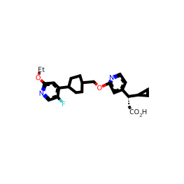 CCOc1cc(C2CCC(COc3cc([C@@H](CC(=O)O)C4CC4)ccn3)CC2)c(F)cn1